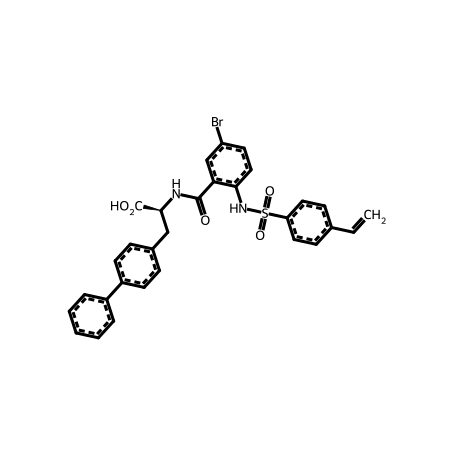 C=Cc1ccc(S(=O)(=O)Nc2ccc(Br)cc2C(=O)N[C@@H](Cc2ccc(-c3ccccc3)cc2)C(=O)O)cc1